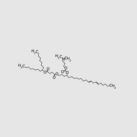 CCCCCC=CCC=CCCCCCCCCC(CCCOC(=O)CCC(=O)OC(CCCCCCCC)CCCCCCCC)OC(=O)OCCCN(C)C